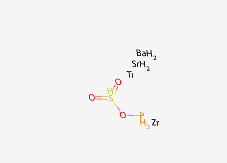 O=[SH](=O)OP.[BaH2].[SrH2].[Ti].[Zr]